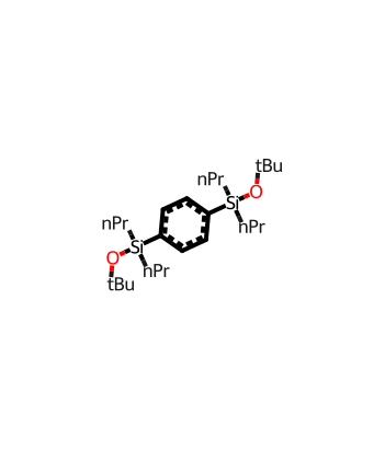 CCC[Si](CCC)(OC(C)(C)C)c1ccc([Si](CCC)(CCC)OC(C)(C)C)cc1